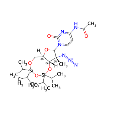 CC(=O)Nc1ccn(C2O[C@@H]3CO[Si](C(C)C)(C(C)C)O[Si](C(C)C)(C(C)C)O[C@H]3[C@@]2(C)N=[N+]=[N-])c(=O)n1